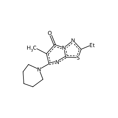 CCc1nn2c(=O)c(C)c(N3CCCCC3)nc2s1